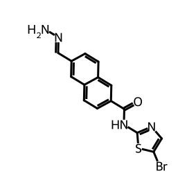 NN=Cc1ccc2cc(C(=O)Nc3ncc(Br)s3)ccc2c1